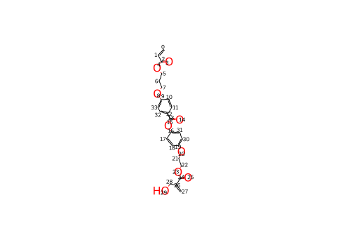 C=CC(=O)OCCCOc1ccc(C(=O)Oc2ccc(OCCOC(=O)C(=C)CO)cc2)cc1